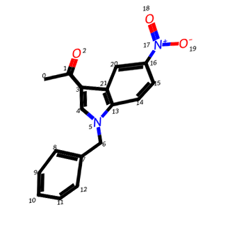 CC(=O)c1cn(Cc2ccccc2)c2ccc([N+](=O)[O-])cc12